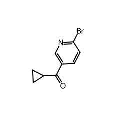 O=C(c1ccc(Br)nc1)C1CC1